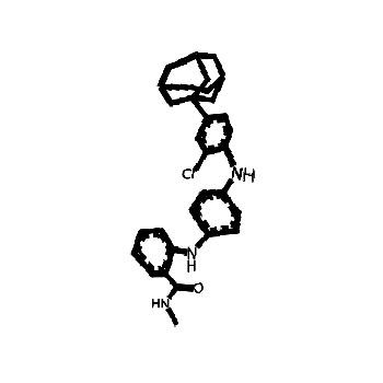 CNC(=O)c1ccccc1Nc1ccc(Nc2ccc(C34CC5CC(CC(C5)C3)C4)cc2Cl)cc1